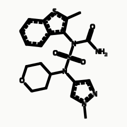 Cc1sc2ccccc2c1N(C(N)=O)S(=O)(=O)N(c1cnn(C)c1)C1CCOCC1